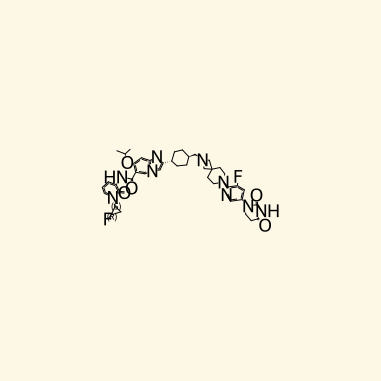 CC(C)Oc1cc2nc([C@H]3CC[C@H](CN4CC5(CCN(c6ncc(N7CCC(=O)NC7=O)cc6F)CC5)C4)CC3)cn2cc1C(=O)Nc1cccn([C@H]2C[C@H]2F)c1=O